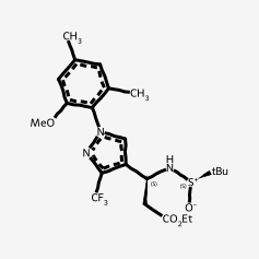 CCOC(=O)C[C@H](N[S@+]([O-])C(C)(C)C)c1cn(-c2c(C)cc(C)cc2OC)nc1C(F)(F)F